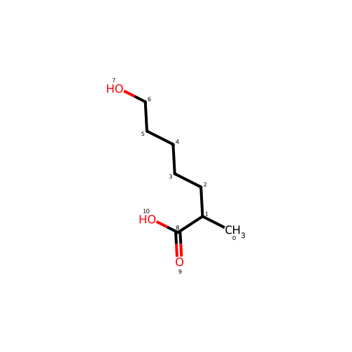 CC(CCCCCO)C(=O)O